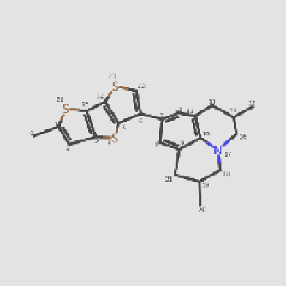 Cc1cc2sc3c(-c4cc5c6c(c4)CC(C)CN6CC(C)C5)csc3c2s1